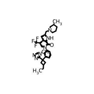 CCC1CC(c2cccc(-n3cc(C(F)(F)F)c4cc(CN5CCC[C@H](C)C5)[nH]c4c3=O)c2)(c2nncn2C)C1